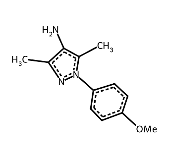 COc1ccc(-n2nc(C)c(N)c2C)cc1